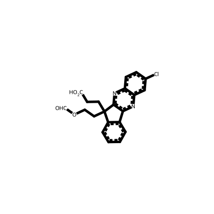 O=COCCC1(CCC(=O)O)c2ccccc2-c2nc3cc(Cl)ccc3nc21